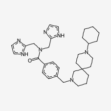 O=C(c1ccc(CN2CCCC3(CCN(C4CCCCC4)CC3)C2)cc1)N(Cc1ncc[nH]1)Cc1ncc[nH]1